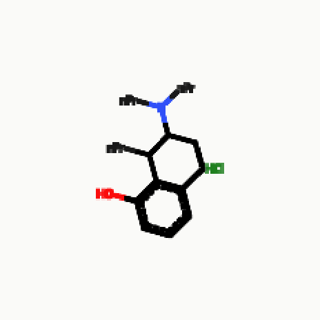 CCCC1c2c(O)cccc2CCC1N(CCC)CCC.Cl